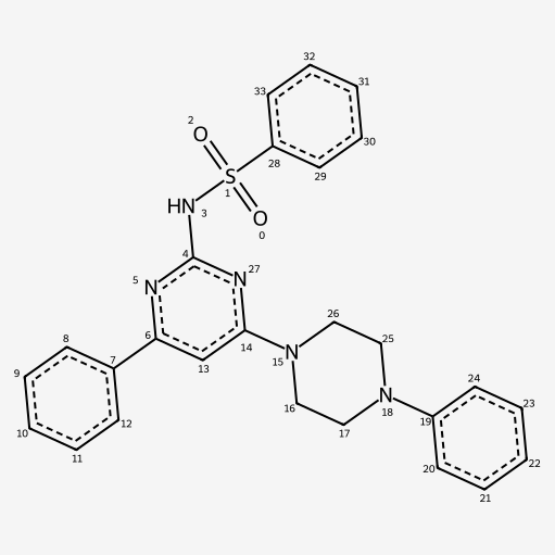 O=S(=O)(Nc1nc(-c2ccccc2)cc(N2CCN(c3ccccc3)CC2)n1)c1ccccc1